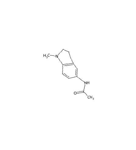 CC(=O)Nc1ccc2c(c1)CCN2C